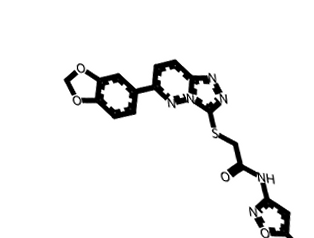 Cc1cc(NC(=O)CSc2nnc3ccc(-c4ccc5c(c4)OCO5)nn23)no1